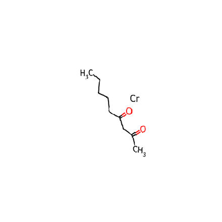 CCCCCC(=O)CC(C)=O.[Cr]